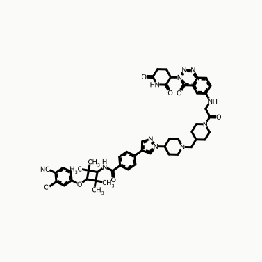 CC1(C)C(NC(=O)c2ccc(-c3cnn(C4CCN(CC5CCN(C(=O)CNc6ccc7nnn(C8CCC(=O)NC8=O)c(=O)c7c6)CC5)CC4)c3)cc2)C(C)(C)C1Oc1ccc(C#N)c(Cl)c1